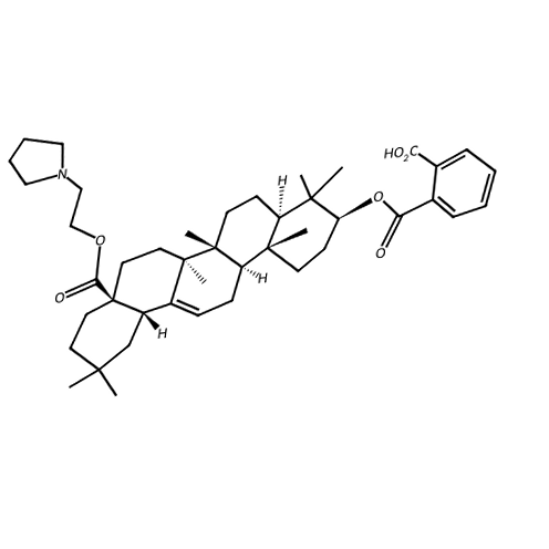 CC1(C)CC[C@]2(C(=O)OCCN3CCCC3)CC[C@]3(C)C(=CC[C@@H]4[C@@]5(C)CC[C@H](OC(=O)c6ccccc6C(=O)O)C(C)(C)[C@@H]5CC[C@]43C)[C@@H]2C1